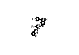 Fc1cccc(CNc2nc(Nc3ccc4[nH]cc(C5=CCNCC5)c4c3)ncc2Br)c1